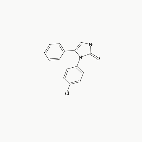 O=C1[N]C=C(c2ccccc2)N1c1ccc(Cl)cc1